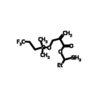 C=C(CO[Si](C)(C)CCC(F)(F)F)C(=O)OC([SiH3])CC